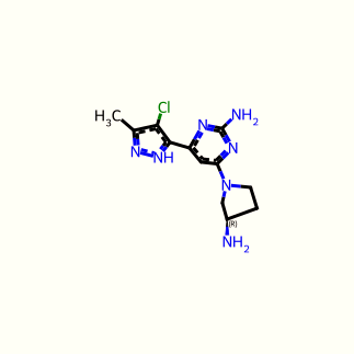 Cc1n[nH]c(-c2cc(N3CC[C@@H](N)C3)nc(N)n2)c1Cl